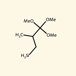 COC(OC)(OC)C(C)C[SiH3]